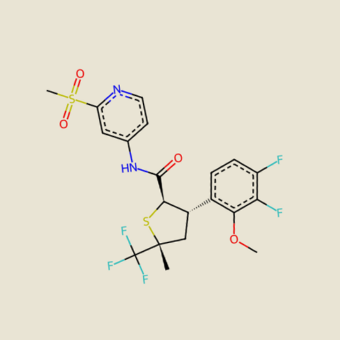 COc1c([C@@H]2C[C@](C)(C(F)(F)F)S[C@H]2C(=O)Nc2ccnc(S(C)(=O)=O)c2)ccc(F)c1F